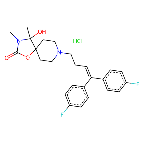 CN1C(=O)OC2(CCN(CCC=C(c3ccc(F)cc3)c3ccc(F)cc3)CC2)C1(C)O.Cl